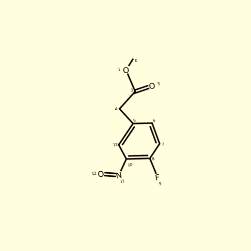 COC(=O)Cc1ccc(F)c(N=O)c1